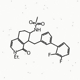 CCn1ccc2c(c1=O)C(Cc1cccc(-c3cccc(F)c3F)c1)C(NS(C)(=O)=O)CC2